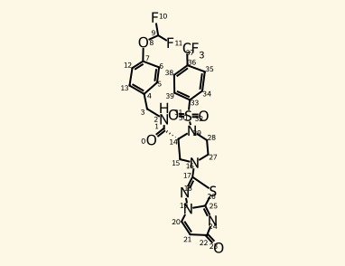 O=C(NCc1ccc(OC(F)F)cc1)[C@H]1CN(c2nn3ccc(=O)nc3s2)CCN1S(=O)(=O)c1ccc(C(F)(F)F)cc1